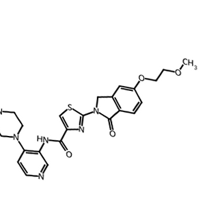 COCCOc1ccc2c(c1)CN(c1nc(C(=O)Nc3cnccc3N3CCNCC3)cs1)C2=O